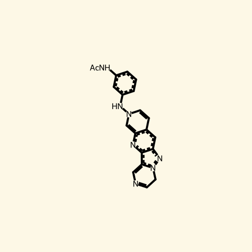 CC(=O)Nc1cccc(NN2C=Cc3cc4nn5c(c4nc3=C2)=CN=CC5)c1